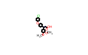 COc1ccc(/C(=C\C(=O)O)c2ccc(Oc3ccc(Cl)cc3)cc2)cc1OC